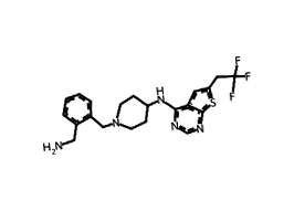 NCc1ccccc1CN1CCC(Nc2ncnc3sc(CC(F)(F)F)cc23)CC1